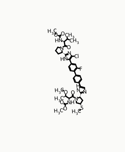 COC(=O)N[C@H](C(=O)N1CCC[C@H]1c1nc(Cl)c(-c2ccc(-c3ccc(-c4cnc([C@@H]5C[C@H](SC)CN5C(=O)[C@@H](NC(=O)OC)[C@@H](C)OC)[nH]4)cc3)c(F)c2)[nH]1)C(C)C